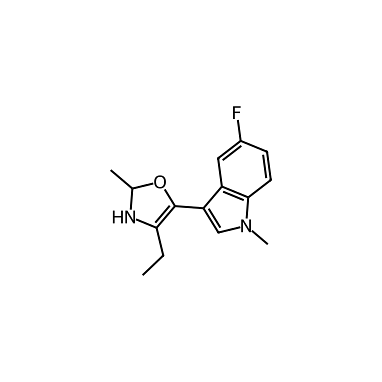 CCC1=C(c2cn(C)c3ccc(F)cc23)OC(C)N1